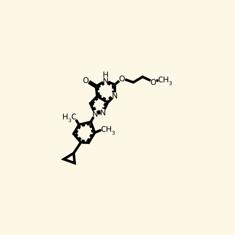 COCCOc1nc2nn(-c3c(C)cc(C4CC4)cc3C)cc2c(=O)[nH]1